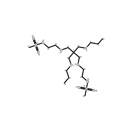 CCCOCC(COCCC)(COCCOS(C)(=O)=O)COCCOS(C)(=O)=O